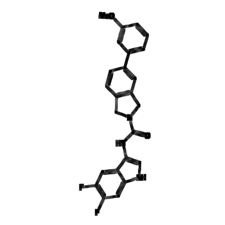 COc1cccc(-c2ccc3c(c2)CN(C(=O)Nc2c[nH]c4cc(F)c(F)cc24)C3)c1